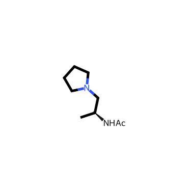 CC(=O)N[C@@H](C)CN1CCCC1